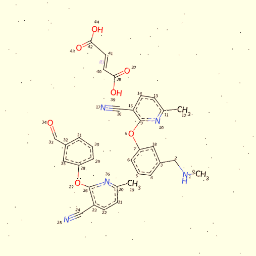 CNCc1cccc(Oc2nc(C)ccc2C#N)c1.Cc1ccc(C#N)c(Oc2cccc(C=O)c2)n1.O=C(O)/C=C/C(=O)O